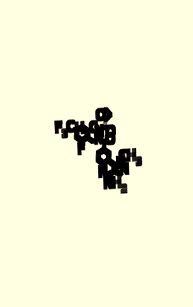 CN(C(=O)[C@H]1CCO1)N(Cc1ccc(C(F)(F)F)cc1F)C(=O)c1ccc2nc(N)c3cnn(C)c3c2c1